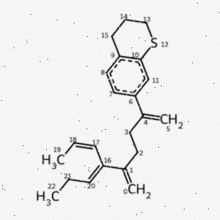 C=C(CCC(=C)c1ccc2c(c1)SCCC2)C(/C=C\C)=C/CC